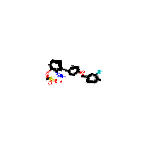 O=S1(=O)COc2cccc(-c3ccc(OCc4cccc(F)c4)cc3)c2N1